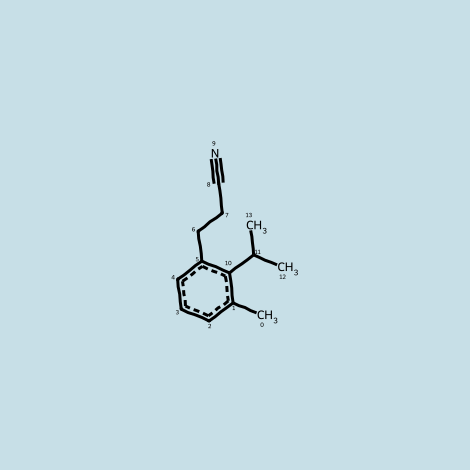 Cc1cccc(CCC#N)c1C(C)C